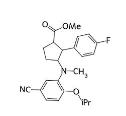 COC(=O)C1CCC(N(C)c2cc(C#N)ccc2OC(C)C)C1c1ccc(F)cc1